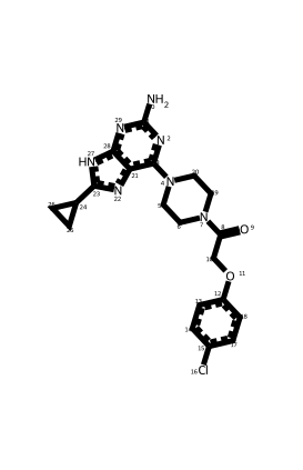 Nc1nc(N2CCN(C(=O)COc3ccc(Cl)cc3)CC2)c2nc(C3CC3)[nH]c2n1